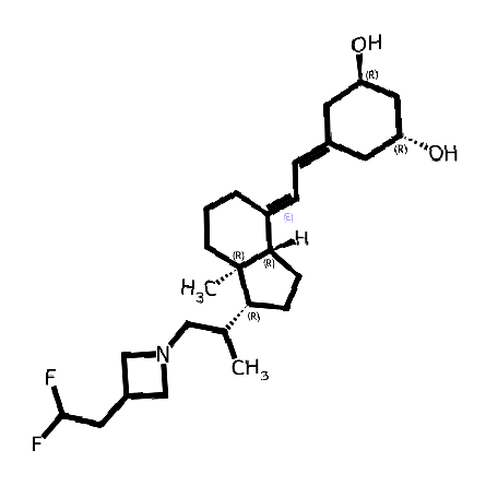 CC(CN1CC(CC(F)F)C1)[C@H]1CC[C@H]2/C(=C/C=C3C[C@@H](O)C[C@H](O)C3)CCC[C@]12C